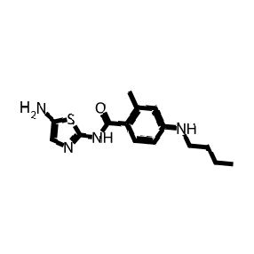 CCCCNc1ccc(C(=O)Nc2ncc(N)s2)c(C)c1